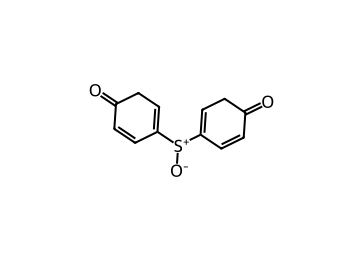 O=C1C=CC([S+]([O-])C2=CCC(=O)C=C2)=CC1